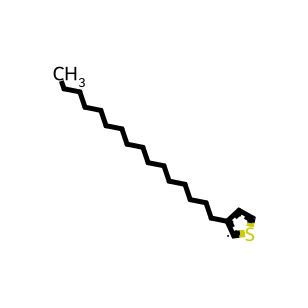 CCCCCCCCCCCCCCCCc1[c]scc1